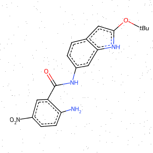 CC(C)(C)Oc1cc2ccc(NC(=O)c3cc([N+](=O)[O-])ccc3N)cc2[nH]1